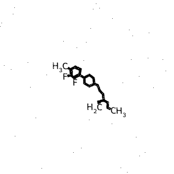 C=CC(CCC)CCCC1CCC(c2ccc(C)c(F)c2F)CC1